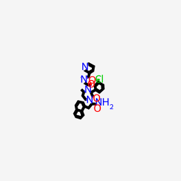 CC1CCN(C(Cc2cccc3ccccc23)C(N)=O)C(=O)C(c2cccc(Cl)c2)N1C(=O)CN(C)C(=O)c1cccnc1